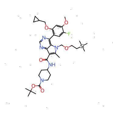 COc1cc(OCC2CC2)c(-c2ncnc3c(C(=O)NC4CCN(C(=O)OC(C)(C)C)CC4)c(C)n(COCC[Si](C)(C)C)c23)cc1F